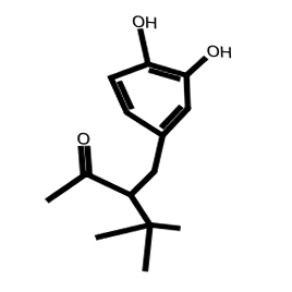 CC(=O)C(Cc1ccc(O)c(O)c1)C(C)(C)C